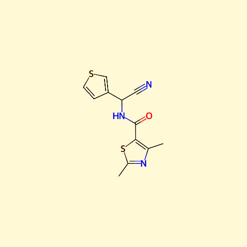 Cc1nc(C)c(C(=O)NC(C#N)c2ccsc2)s1